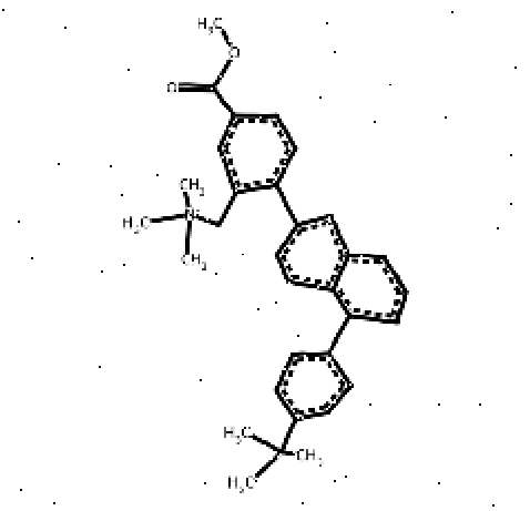 COC(=O)c1ccc(-c2ccc3c(-c4ccc(C(C)(C)C)cc4)cccc3c2)c(C[N+](C)(C)C)c1